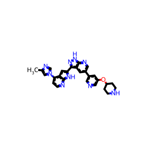 Cc1cn(-c2ccnc3[nH]c(-c4n[nH]c5ncc(-c6cncc(OC7CCNCC7)c6)cc45)cc23)cn1